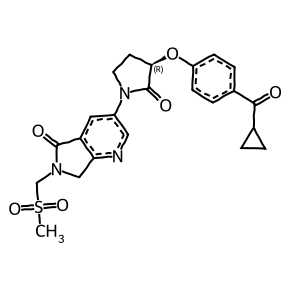 CS(=O)(=O)CN1Cc2ncc(N3CC[C@@H](Oc4ccc(C(=O)C5CC5)cc4)C3=O)cc2C1=O